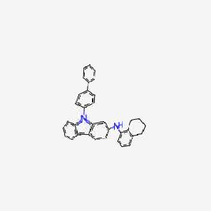 c1ccc(-c2ccc(-n3c4ccccc4c4ccc(Nc5cccc6c5CCCC6)cc43)cc2)cc1